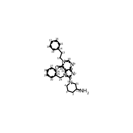 NC1CCCN(c2nc3ncn(CCc4ccccc4)c(=O)c3n2Cc2ccccc2)C1